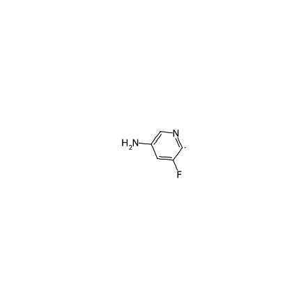 Nc1cn[c]c(F)c1